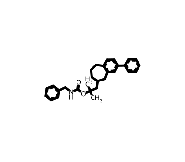 CC(C)(CC1CCCc2ccc(-c3ccccc3)cc2C1)OC(=O)NCc1ccccc1